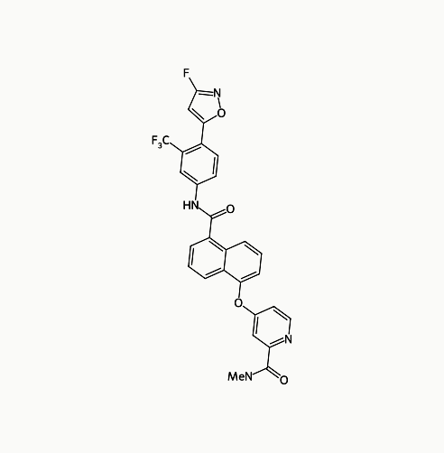 CNC(=O)c1cc(Oc2cccc3c(C(=O)Nc4ccc(-c5cc(F)no5)c(C(F)(F)F)c4)cccc23)ccn1